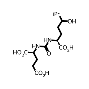 CC(C)C(O)CC[C@H](NC(=O)N[C@@H](CCC(=O)O)C(=O)O)C(=O)O